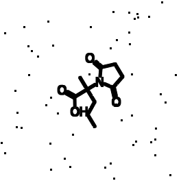 CCCC(C)(C(=O)O)N1C(=O)CCC1=O